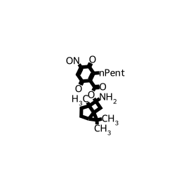 CCCCCC1=C(C(=O)OC2(N)CC34C(CCC23C)C4(C)C)C(=O)C=C(N=O)C1=O